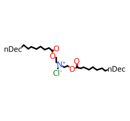 CCCCCCCCCCCCCCCCCC(=O)OCC[N+](C)(C)CCOC(=O)CCCCCCCCCCCCCCCCC.[Cl-]